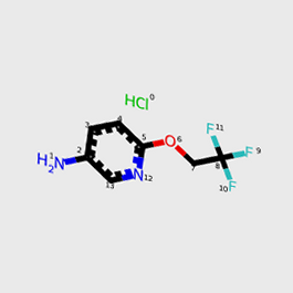 Cl.Nc1ccc(OCC(F)(F)F)nc1